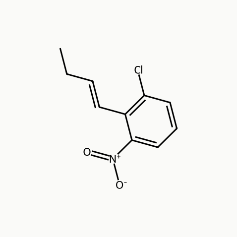 CCC=Cc1c(Cl)cccc1[N+](=O)[O-]